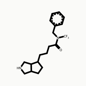 O=C(CCCC1CCC2CNCC12)N(Cc1ccccc1)C(F)(F)F